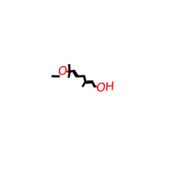 CCOC(C)(C)/C=C/C/C(C)=C/CO